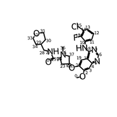 COc1cc2ncnc(Nc3cccc(Cl)c3F)c2cc1O[C@H]1C[C@H](C(=O)NCC2CCOCC2)N(C)C1